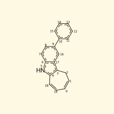 C1=CCc2c([nH]c3ccc(-c4ccccc4)cc23)C=C1